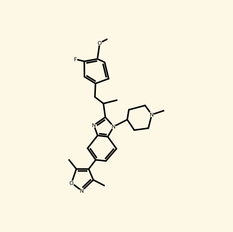 COc1ccc(CC(C)c2nc3cc(-c4c(C)noc4C)ccc3n2C2CCN(C)CC2)cc1F